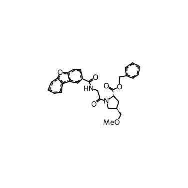 COC[C@@H]1C[C@@H](C(=O)OCc2ccccc2)N(C(=O)CNC(=O)c2ccc3oc4ccccc4c3c2)C1